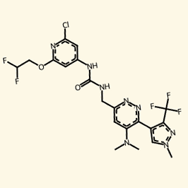 CN(C)c1cc(CNC(=O)Nc2cc(Cl)nc(OCC(F)F)c2)nnc1-c1cn(C)nc1C(F)(F)F